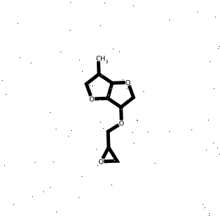 CC1COC2C(OCC3CO3)COC12